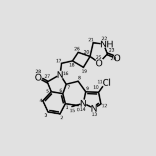 Cc1cccc2c1C(Cc1c(Cl)cnn1C)N(CC1CC3(CNC(=O)O3)C1)C2=O